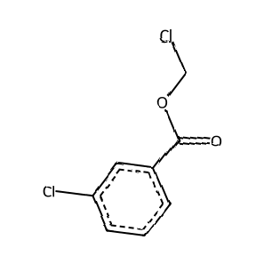 O=C(OCCl)c1cccc(Cl)c1